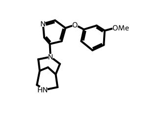 COc1cccc(Oc2cncc(N3CC4CNCC(C4)C3)c2)c1